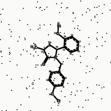 CCOc1ccc(CN2C(=O)C(C)SC2c2ccccc2OCC)cc1